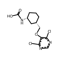 O=C(O)N[C@@H]1CCC[C@H](COc2c(Cl)ncnc2Cl)C1